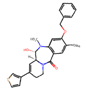 COc1cc2c(cc1OCc1ccccc1)N(C(=O)O)[C@@H](O)[C@@H]1C=C(c3ccsc3)CCN1C2=O